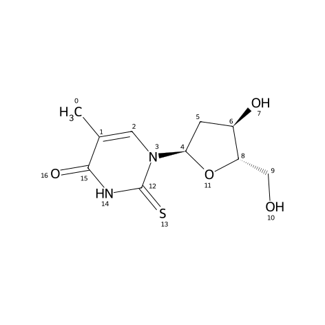 Cc1cn([C@H]2C[C@@H](O)[C@H](CO)O2)c(=S)[nH]c1=O